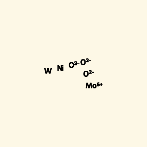 [Mo+6].[Ni].[O-2].[O-2].[O-2].[W]